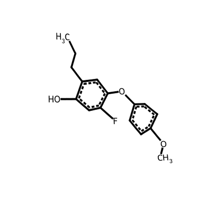 CCCc1cc(Oc2ccc(OC)cc2)c(F)cc1O